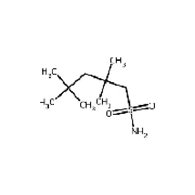 CC(C)(C)CC(C)(C)CS(N)(=O)=O